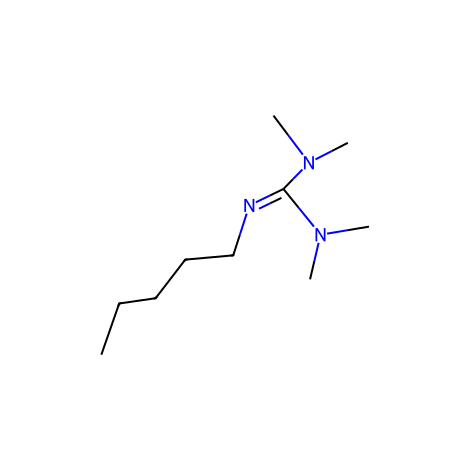 CCCCCN=C(N(C)C)N(C)C